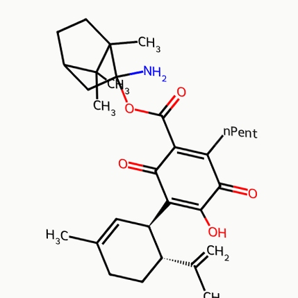 C=C(C)[C@@H]1CCC(C)=C[C@H]1C1=C(O)C(=O)C(CCCCC)=C(C(=O)OC2(N)CC3CCC2(C)C3(C)C)C1=O